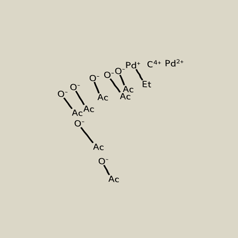 CC(=O)[O-].CC(=O)[O-].CC(=O)[O-].CC(=O)[O-].CC(=O)[O-].CC(=O)[O-].CC(=O)[O-].C[CH2][Pd+].[C+4].[Pd+2]